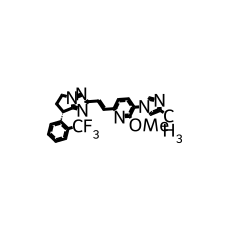 COc1nc(C=Cc2nc3n(n2)CC[C@H]3c2ccccc2C(F)(F)F)ccc1-n1cnc(C)c1